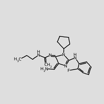 C=C(/N=C1\C(=C/N)N=C(Nc2ccccc2F)N1C1CCCC1)NCCC